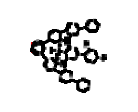 Fc1ccc(-c2cc(-n3c4cc(-c5ccccc5)ccc4c4ccc(-c5ccccc5)cc43)c(C(F)(F)F)c(-n3c4cc(-c5ccccc5)ccc4c4ccc(-c5ccccc5)cc43)c2)c(F)c1